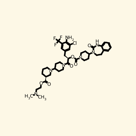 CN(C)CCOC(=O)[C@H]1CCCN(C2CCN(C(=O)[C@@H](Cc3cc(Cl)c(N)c(C(F)(F)F)c3)OC(=O)N3CCC(N4CCc5ccccc5NC4=O)CC3)CC2)C1